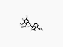 CC(=O)c1c(F)c(Cl)cc(C[C@H](C)c2nc(C)c3c(N)nccn23)c1OC(C)C